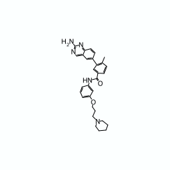 Cc1ccc(C(=O)Nc2cccc(OCCCN3CCCCC3)c2)cc1-c1ccc2nc(N)ncc2c1